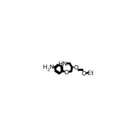 CCOCCO[C@H]1CNc2cc(N)ccc2OC1